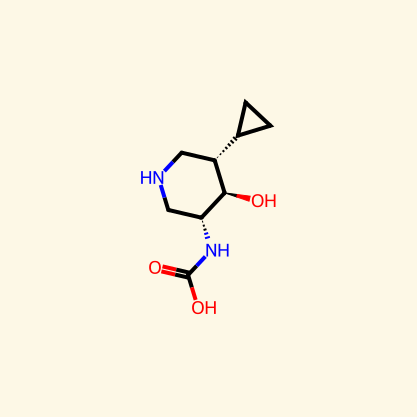 O=C(O)N[C@@H]1CNC[C@H](C2CC2)[C@H]1O